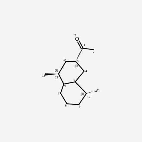 CC(=O)[C@@H]1CC2C(CCC[C@H]2C)[C@@H](C)C1